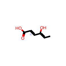 CC=C(O)/C=C/C(=O)O